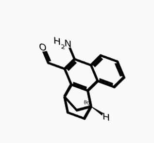 Nc1c(C=O)c2c(c3ccccc13)[C@@H]1CCC2C1